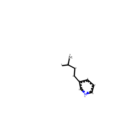 CC(=O)C(C)CCc1cccnc1